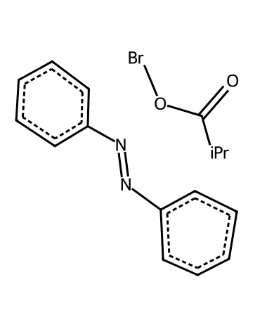 CC(C)C(=O)OBr.c1ccc(N=Nc2ccccc2)cc1